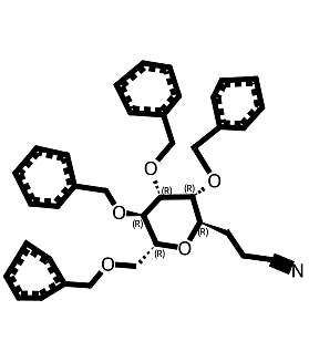 N#CCC[C@H]1O[C@H](COCc2ccccc2)[C@@H](OCc2ccccc2)[C@H](OCc2ccccc2)[C@@H]1OCc1ccccc1